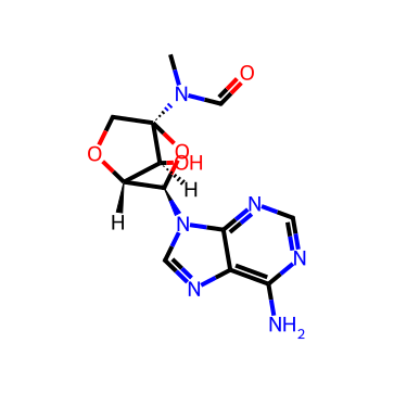 CN(C=O)[C@]12CO[C@@H]([C@H](n3cnc4c(N)ncnc43)O1)[C@@H]2O